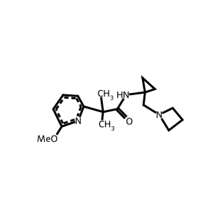 COc1cccc(C(C)(C)C(=O)NC2(CN3CCC3)CC2)n1